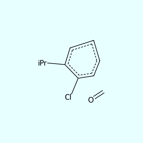 C=O.CC(C)c1ccccc1Cl